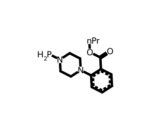 CCCOC(=O)c1ccccc1N1CCN(P)CC1